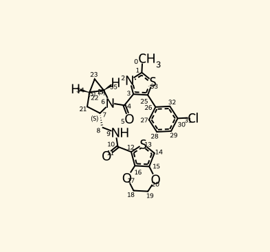 Cc1nc(C(=O)N2[C@H](CNC(=O)c3scc4c3OCCO4)C[C@@H]3C[C@@H]32)c(-c2cccc(Cl)c2)s1